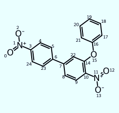 O=[N+]([O-])c1ccc(-c2ccc([N+](=O)[O-])c(Oc3ccccc3)c2)cc1